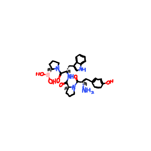 N[C@@H](Cc1ccc(O)cc1)C(=O)N1CCC[C@H]1C(=O)N[C@@H](Cc1c[nH]c2ccccc12)C(=O)N1CCC[C@H]1B(O)O